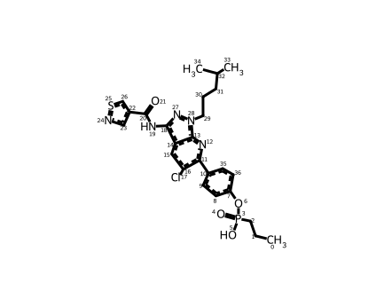 CCCP(=O)(O)Oc1ccc(-c2nc3c(cc2Cl)c(NC(=O)c2cnsc2)nn3CCCC(C)C)cc1